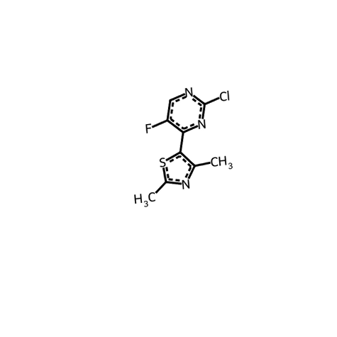 Cc1nc(C)c(-c2nc(Cl)ncc2F)s1